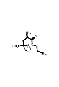 C=C(CC(C)(C)C(=O)O)C(=O)OCCN